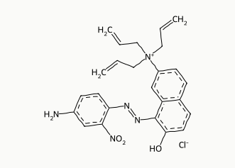 C=CC[N+](CC=C)(CC=C)c1ccc2ccc(O)c(N=Nc3ccc(N)cc3[N+](=O)[O-])c2c1.[Cl-]